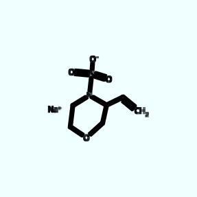 C=CC1COCCN1S(=O)(=O)[O-].[Na+]